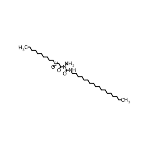 CCCCCCCCCCCCCCCCCCNC(=O)N(N)C(=O)C[S+]([O-])CCCCCCCCCC